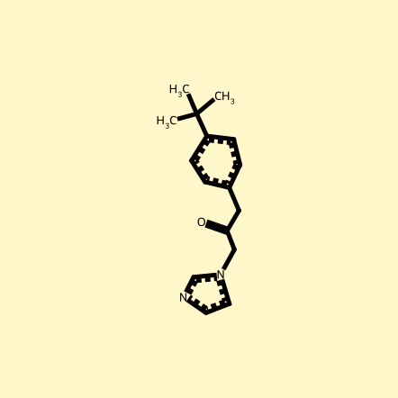 CC(C)(C)c1ccc(CC(=O)Cn2ccnc2)cc1